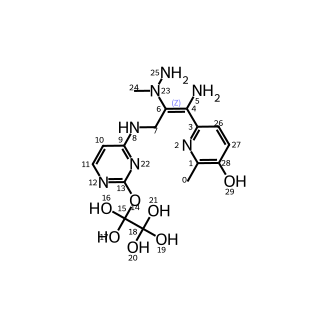 Cc1nc(/C(N)=C(\CNc2ccnc(OC(O)(O)C(O)(O)O)n2)N(C)N)ccc1O